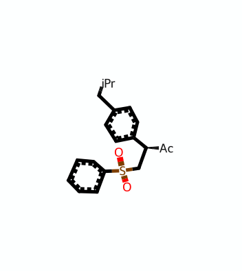 CC(=O)[C@@H](CS(=O)(=O)c1ccccc1)c1ccc(CC(C)C)cc1